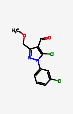 COCc1nn(-c2cccc(Cl)c2)c(Cl)c1C=O